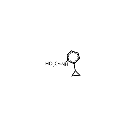 O=C(O)Nc1ccc[c]c1C1CC1